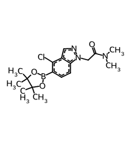 CN(C)C(=O)Cn1ncc2c(Cl)c(B3OC(C)(C)C(C)(C)O3)ccc21